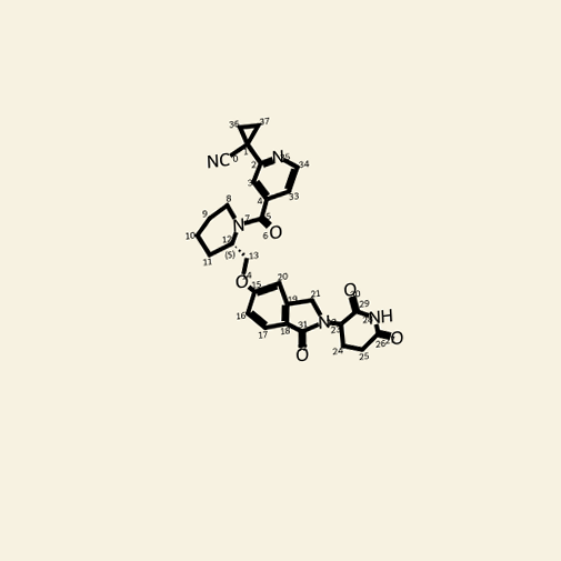 N#CC1(c2cc(C(=O)N3CCCC[C@H]3COc3ccc4c(c3)CN(C3CCC(=O)NC3=O)C4=O)ccn2)CC1